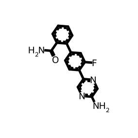 NC(=O)c1ccccc1-c1ccc(-c2cnc(N)cn2)c(F)c1